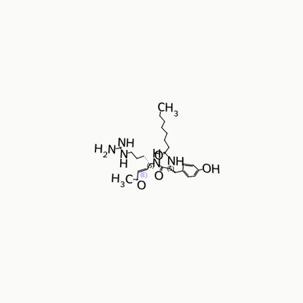 CCCCCCCC(=O)N[C@@H](Cc1ccc(O)cc1)C(=O)N[C@H](/C=C/C(C)=O)CCCNC(=N)N